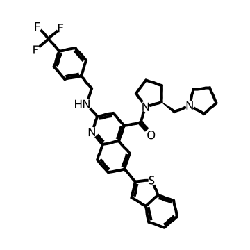 O=C(c1cc(NCc2ccc(C(F)(F)F)cc2)nc2ccc(-c3cc4ccccc4s3)cc12)N1CCC[C@H]1CN1CCCC1